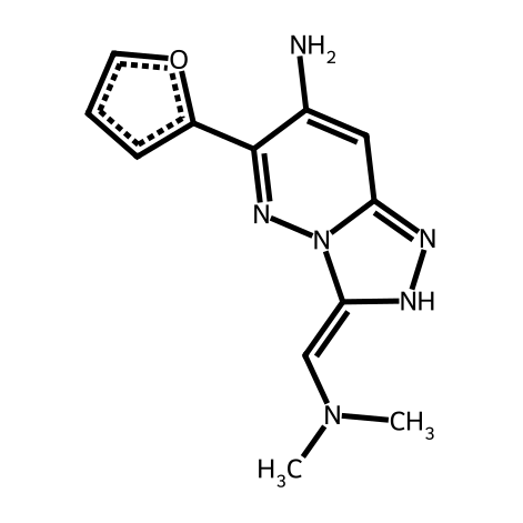 CN(C)C=C1NN=C2C=C(N)C(c3ccco3)=NN12